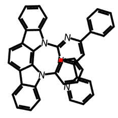 c1ccc(-c2cc(-c3ccccn3)nc(-n3c4ccccc4c4ccc5c6ccccc6n(-c6ccccc6)c5c43)n2)cc1